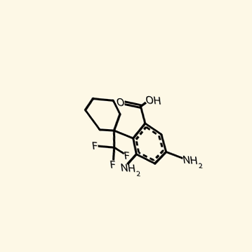 Nc1cc(N)c(C2(C(F)(F)F)CCCCC2)c(C(=O)O)c1